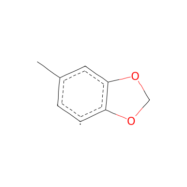 Cc1c[c]c2c(c1)OCO2